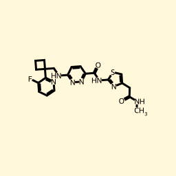 CNC(=O)Cc1csc(NC(=O)c2ccc(NCC3(c4ncccc4F)CCC3)nn2)n1